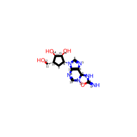 N=C1NC2c3ncn([C@@H]4C[C@H](CO)[C@@H](O)[C@H]4O)c3N=CN2O1